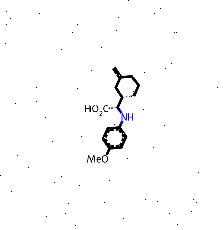 C=C1CCC[C@H]([C@H](Nc2ccc(OC)cc2)C(=O)O)C1